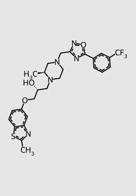 Cc1nc2cc(OC[C@H](O)CN3CCN(Cc4noc(-c5cccc(C(F)(F)F)c5)n4)C[C@@H]3C)ccc2s1